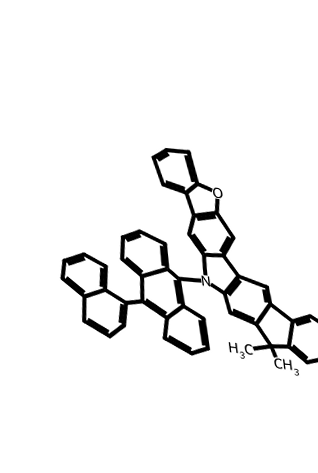 CC1(C)c2ccccc2-c2cc3c4cc5oc6ccccc6c5cc4n(-c4c5ccccc5c(-c5cccc6ccccc56)c5ccccc45)c3cc21